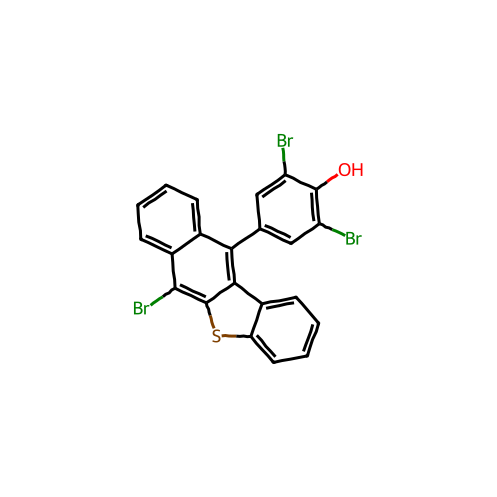 Oc1c(Br)cc(-c2c3ccccc3c(Br)c3sc4ccccc4c23)cc1Br